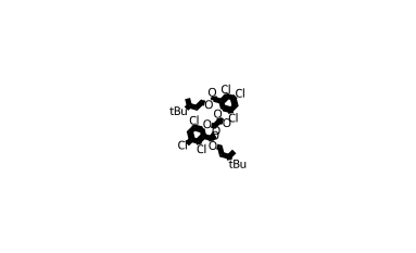 CC(CCOC(=O)c1c(Cl)c(Cl)cc(Cl)c1OC(=O)C(=O)Oc1c(Cl)cc(Cl)c(Cl)c1C(=O)OCCC(C)C(C)(C)C)C(C)(C)C